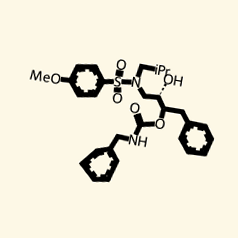 COc1ccc(S(=O)(=O)N(CC(C)C)C[C@H](O)C(Cc2ccccc2)OC(=O)NCc2ccccc2)cc1